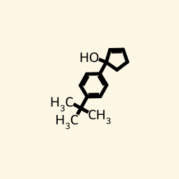 CC(C)(C)c1ccc(C2(O)C=CCC2)cc1